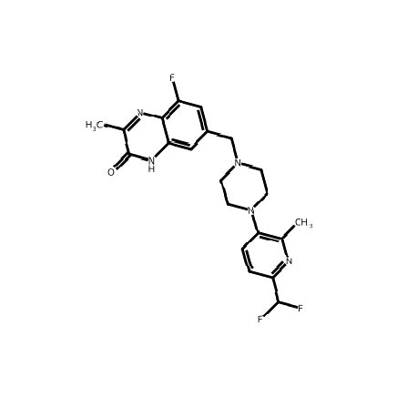 Cc1nc(C(F)F)ccc1N1CCN(Cc2cc(F)c3nc(C)c(=O)[nH]c3c2)CC1